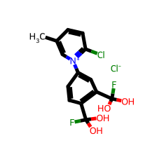 Cc1ccc(Cl)[n+](-c2ccc(C(O)(O)F)c(C(O)(O)F)c2)c1.[Cl-]